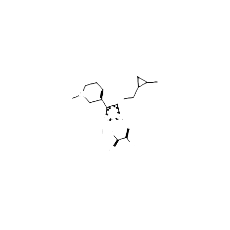 CC1CC1COc1nsnc1C1=CCCN(C)C1.O=C(O)C(=O)O